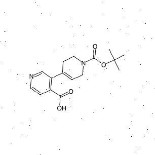 CC(C)(C)OC(=O)N1CC=C(c2cnccc2C(=O)O)CC1